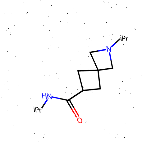 CC(C)NC(=O)C1CC2(C1)CN(C(C)C)C2